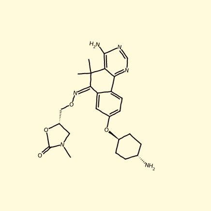 CN1C[C@@H](CO/N=C2\c3cc(O[C@H]4CC[C@H](N)CC4)ccc3-c3ncnc(N)c3C2(C)C)OC1=O